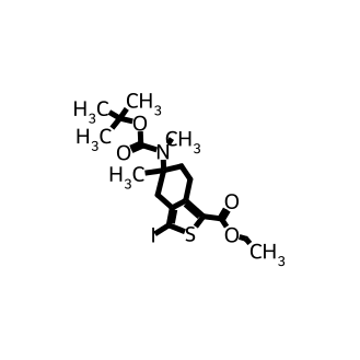 CCOC(=O)c1sc(I)c2c1CCC(C)(N(C)C(=O)OC(C)(C)C)C2